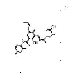 C=c1c(/N=N/C(C)CCC(C)C(=O)O)c(O)c(C(=O)Nc2ccc(C)cc2C)c/c1=C/C=C\C